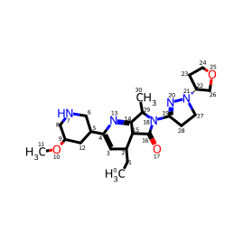 CCC1C=C(C2CNCC(OC)C2)N=C2C1C(=O)N(C1=NN([C@@H]3CCOC3)CC1)C2C